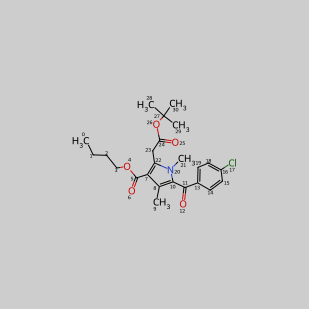 CCCCOC(=O)c1c(C)c(C(=O)c2ccc(Cl)cc2)n(C)c1CC(=O)OC(C)(C)C